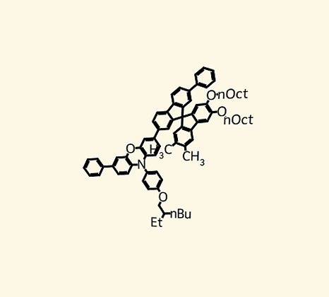 CCCCCCCCOc1cc2c(cc1OCCCCCCCC)C1(c3cc(-c4ccccc4)ccc3-c3ccc(-c4ccc5c(c4)Oc4cc(-c6ccccc6)ccc4N5c4ccc(OCC(CC)CCCC)cc4)cc31)c1cc(C)c(C)cc1-2